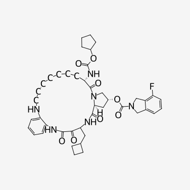 O=C(N[C@H]1CCCCCCCNc2ccccc2NC(=O)C(=O)C(CC2CCC2)NC(=O)[C@@H]2C[C@@H](OC(=O)N3Cc4cccc(F)c4C3)CN2C1=O)OC1CCCC1